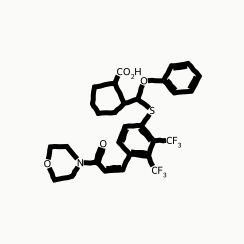 O=C(O)C1CCCCC1C(Oc1ccccc1)Sc1ccc(/C=C\C(=O)N2CCOCC2)c(C(F)(F)F)c1C(F)(F)F